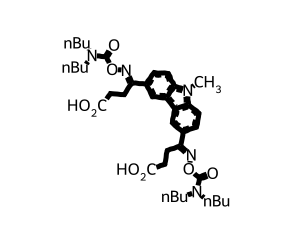 CCCCN(CCCC)C(=O)O/N=C(\CCC(=O)O)c1ccc2c(c1)c1cc(/C(CCC(=O)O)=N/OC(=O)N(CCCC)CCCC)ccc1n2C